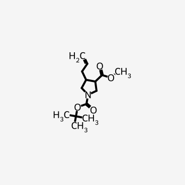 C=CCC1CN(C(=O)OC(C)(C)C)CC1C(=O)OC